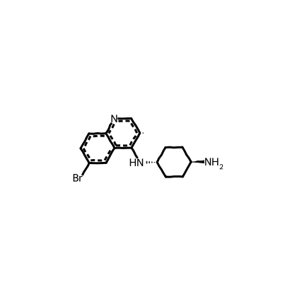 N[C@H]1CC[C@H](Nc2[c]cnc3ccc(Br)cc23)CC1